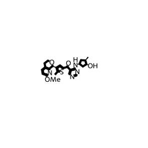 COc1ccc2c(n1)[C@H](c1cc(C(=O)c3cncnc3N[C@@H]3C[C@@H](C)[C@H](O)C3)sc1C)OCC2